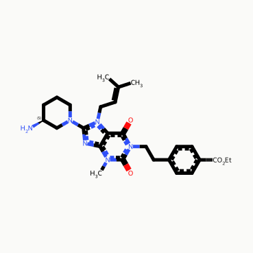 CCOC(=O)c1ccc(CCn2c(=O)c3c(nc(N4CCC[C@H](N)C4)n3CC=C(C)C)n(C)c2=O)cc1